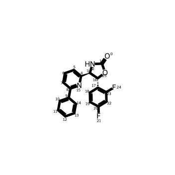 O=C1N[C@H](c2cccc(-c3ccccc3)n2)[C@@H](c2ccc(F)cc2F)O1